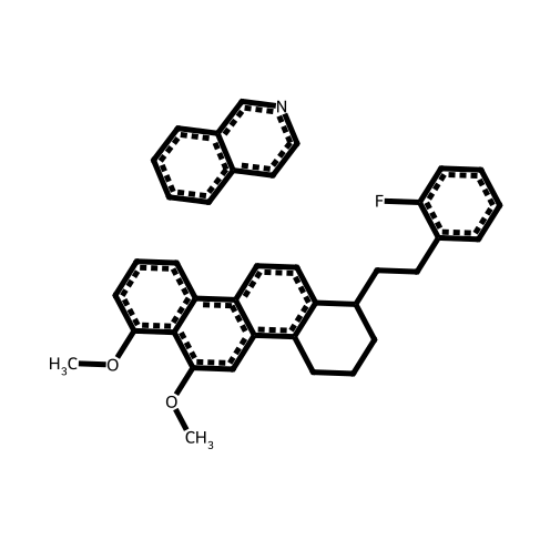 COc1cccc2c1c(OC)cc1c3c(ccc12)C(CCc1ccccc1F)CCC3.c1ccc2cnccc2c1